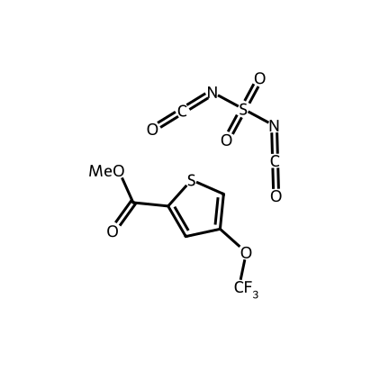 COC(=O)c1cc(OC(F)(F)F)cs1.O=C=NS(=O)(=O)N=C=O